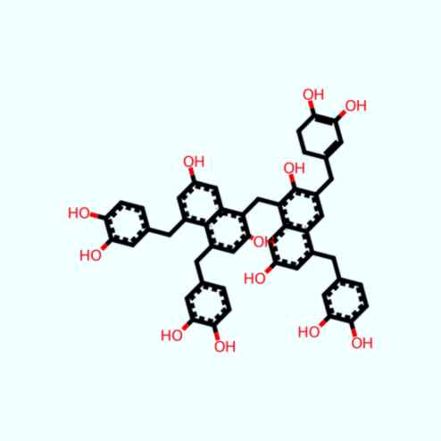 OC1=C(O)CCC(Cc2cc3c(Cc4ccc(O)c(O)c4)cc(O)cc3c(Cc3c(O)cc(Cc4ccc(O)c(O)c4)c4c(Cc5ccc(O)c(O)c5)cc(O)cc34)c2O)=C1